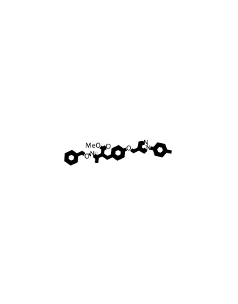 COC(=O)C(Cc1ccc(OCc2cnn(-c3ccc(C)cc3)c2)cc1)/C(C)=N/OCc1ccccc1